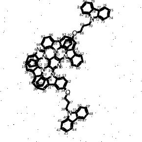 c1ccc2c(c1)ncn2-c1c(-n2c3ccccc3c3ccccc32)c(-n2c3ccccc3c3cc(OCCCn4c5ccccc5c5ccccc54)ccc32)nc(-n2c3ccccc3c3cc(OCCCn4c5ccccc5c5ccccc54)ccc32)c1-n1c2ccccc2c2ccccc21